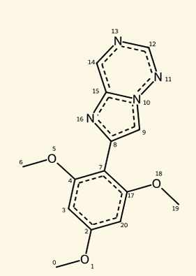 COc1cc(OC)c(-c2cn3ncncc3n2)c(OC)c1